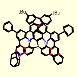 CC(C)(C)c1ccc2c(c1)c1cc(C(C)(C)C)ccc1n2-c1cc2c3c(c1)N(c1c(-c4ccccc4)cc(-c4ccccc4)cc1-c1ccccc1)c1cc(N4C5CC6CC(C5)CC4C6)ccc1B3c1ccc(-c3ccccc3)cc1N2c1c(-c2ccccc2)cc(-c2ccccc2)cc1-c1ccccc1